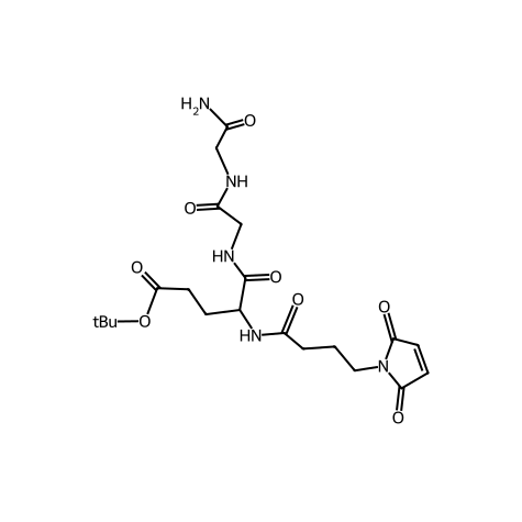 CC(C)(C)OC(=O)CCC(NC(=O)CCCN1C(=O)C=CC1=O)C(=O)NCC(=O)NCC(N)=O